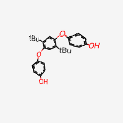 CC(C)(C)c1cc(Oc2ccc(O)cc2)c(C(C)(C)C)cc1Oc1ccc(O)cc1